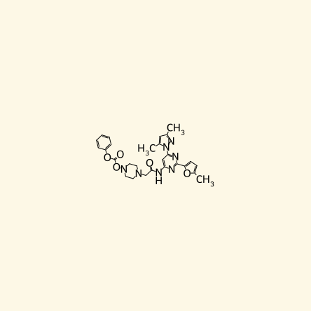 Cc1cc(C)n(-c2cc(NC(=O)CN3CCN(OC(=O)Oc4ccccc4)CC3)nc(-c3ccc(C)o3)n2)n1